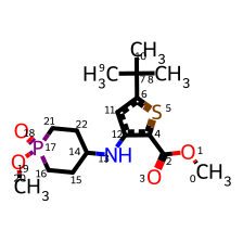 COC(=O)c1sc(C(C)(C)C)cc1NC1CCP(=O)(OC)CC1